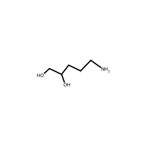 NC[CH]CC(O)CO